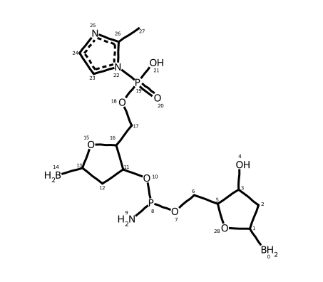 BC1CC(O)C(COP(N)OC2CC(B)OC2COP(=O)(O)n2ccnc2C)O1